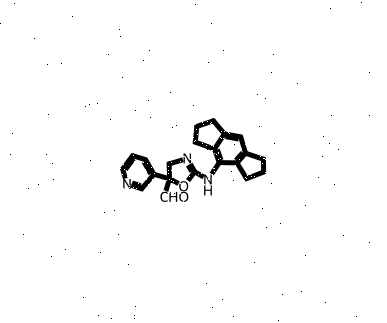 O=CC1(c2cccnc2)CN=C(Nc2c3c(cc4c2CCC4)CCC3)O1